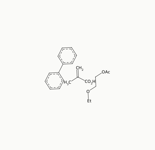 C=C(C)C(=O)O.CCOCCOC(C)=O.c1ccc(-c2ccccc2)cc1